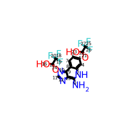 Nc1[nH]c2ccccc2c2ncnc1-2.O=C(O)C(F)(F)F.O=C(O)C(F)(F)F